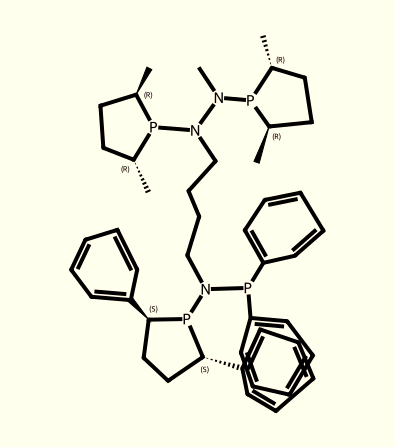 C[C@@H]1CC[C@@H](C)P1N(C)N(CCCCN(P(c1ccccc1)c1ccccc1)P1[C@H](c2ccccc2)CC[C@H]1c1ccccc1)P1[C@H](C)CC[C@H]1C